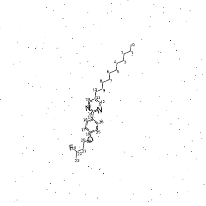 CCCCCCCCCCCc1cnc(-c2ccc(OCCC(C)F)cc2)nc1